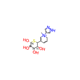 C[N+]1(c2cn[nH]c2)C=C(C2S[C@@H](O)[C@H](O)[C@@H](O)[C@@H]2O)C=CC1